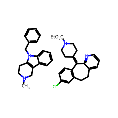 CCOC(=O)N1CCC(=C2c3ccc(Cl)cc3CCc3cccnc32)CC1.CN1CCc2c(c3ccccc3n2Cc2ccccc2)C1